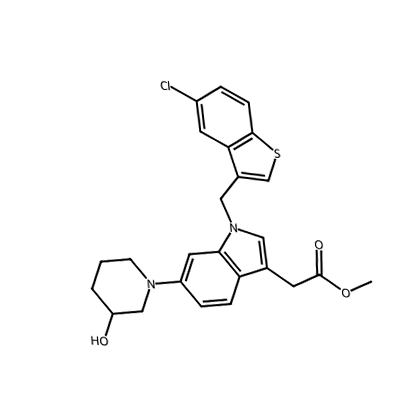 COC(=O)Cc1cn(Cc2csc3ccc(Cl)cc23)c2cc(N3CCCC(O)C3)ccc12